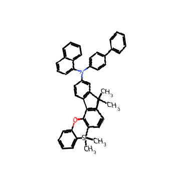 CC1(C)c2cc(N(c3ccc(-c4ccccc4)cc3)c3cccc4ccccc34)ccc2-c2c1ccc1c2Oc2ccccc2[Si]1(C)C